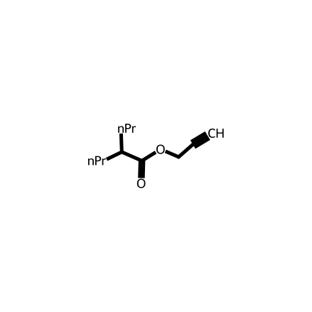 C#CCOC(=O)C(CCC)CCC